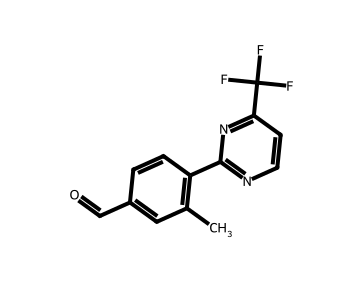 Cc1cc(C=O)ccc1-c1nccc(C(F)(F)F)n1